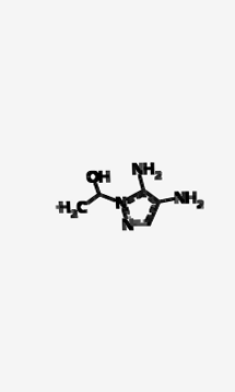 [CH2]C(O)n1ncc(N)c1N